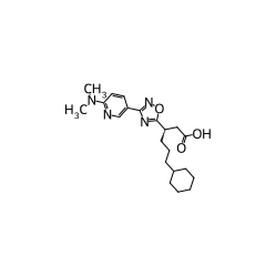 CN(C)c1ccc(-c2noc([C@H](CCCC3CCCCC3)CC(=O)O)n2)cn1